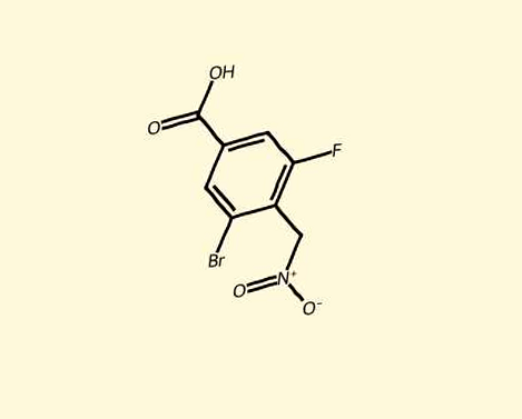 O=C(O)c1cc(F)c(C[N+](=O)[O-])c(Br)c1